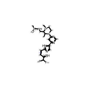 CC1C(CN[S+](C)[O-])N(C)CCN1c1cc(-c2cnc(/C=C\C(=N)C(F)F)[nH]2)ncn1